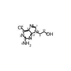 Nc1nc(Cl)c2ncn(CCO)c2n1